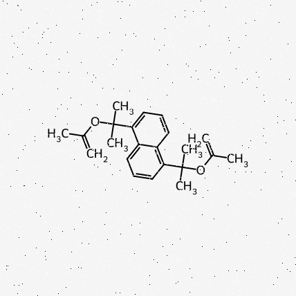 C=C(C)OC(C)(C)c1cccc2c(C(C)(C)OC(=C)C)cccc12